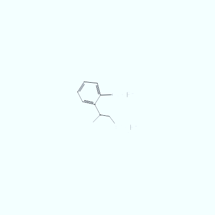 CCOC(=O)CC(C)c1ccccc1C(=O)OCC